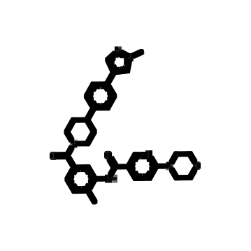 Cc1ccc(C(=O)N2CCC(c3ccc(-c4cnn(C)c4)cc3)CC2)cc1NC(=O)c1ccc(N2CCOCC2)nc1